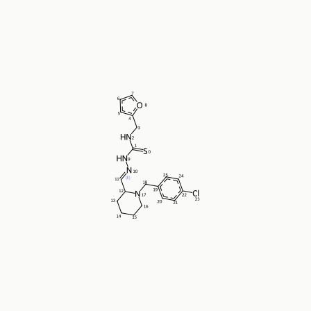 S=C(NCc1ccco1)N/N=C/C1CCCCN1Cc1ccc(Cl)cc1